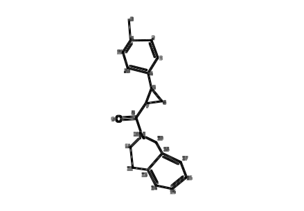 Cc1ccc(C2CC2C(=O)N2CCc3ccccc3C2)cc1